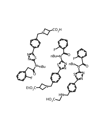 CCCCN(C(=O)Cc1ccccc1F)c1nnc(-c2ccc(CN3CC(C(=O)O)C3)cc2)s1.CCCCN(C(=O)c1ccccc1F)c1nnc(-c2ccc(CN3CC(C(=O)OCC)C3)cc2)s1.CCCCN(C(=O)c1ccccc1F)c1nnc(-c2ccc(CNCC(=O)O)cc2)s1